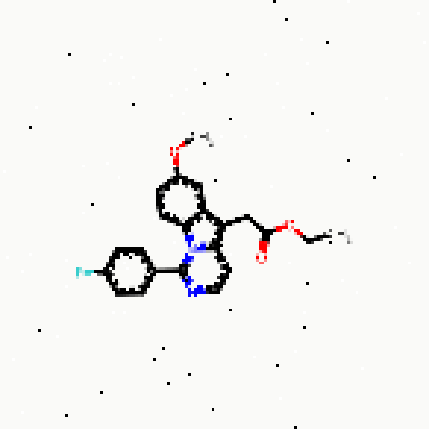 CCOC(=O)Cc1c2cc(OC)ccc2n2c(-c3ccc(F)cc3)nccc12